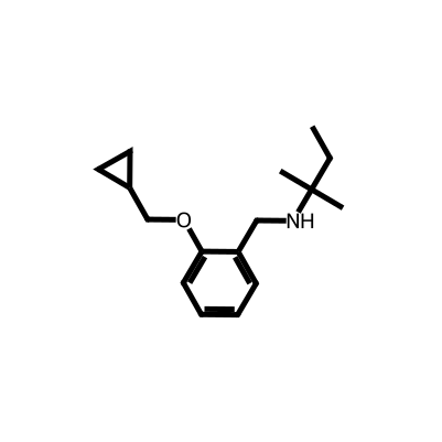 CCC(C)(C)NCc1ccccc1OCC1CC1